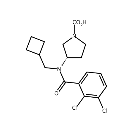 O=C(O)N1CC[C@H](N(CC2CCC2)C(=O)c2cccc(Cl)c2Cl)C1